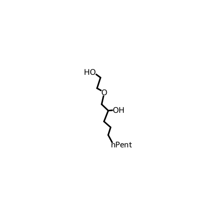 CCCCCCCCC(O)COCCO